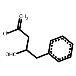 C=C(Cl)CC(C=O)Cc1ccccc1